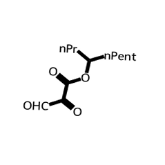 CCCCCC(CCC)OC(=O)C(=O)C=O